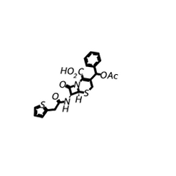 CC(=O)OC(C1=C(C(=O)O)N2C(=O)[C@@H](NC(=O)Cc3cccs3)[C@@H]2SC1)c1ccccc1